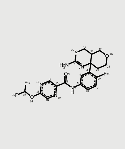 NC1=NC2(c3cc(NC(=O)c4cnc(OC(F)F)cn4)ccc3F)CCOCC2CS1